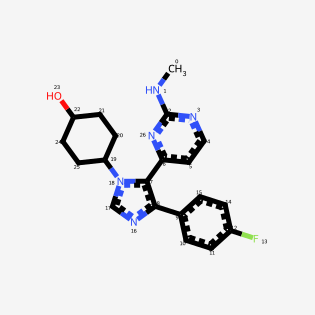 CNc1nccc(-c2c(-c3ccc(F)cc3)ncn2C2CCC(O)CC2)n1